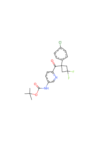 CC(C)(C)OC(=O)Nc1ccc(C(=O)C2(c3ccc(Cl)cc3)CC(F)(F)C2)nc1